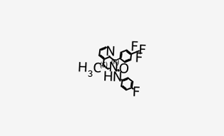 C[C@@H]1CN(C(=O)Nc2ccc(F)cc2)[C@H](c2ccc(C(F)(F)F)cc2)c2ncccc21